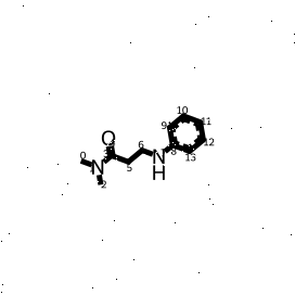 CN(C)C(=O)CCNc1[c]cccc1